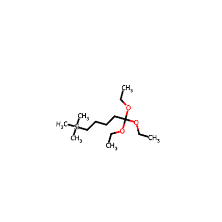 CCOC(CCCC[Si](C)(C)C)(OCC)OCC